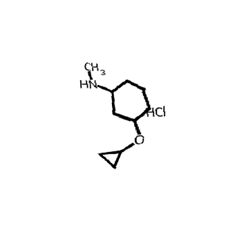 CNC1CCCC(OC2CC2)C1.Cl